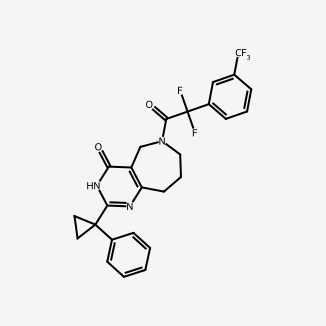 O=C(N1CCCc2nc(C3(c4ccccc4)CC3)[nH]c(=O)c2C1)C(F)(F)c1cccc(C(F)(F)F)c1